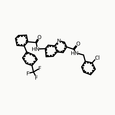 O=C(NCc1ccccc1Cl)c1cnc2cc(NC(=O)c3ccccc3-c3ccc(C(F)(F)F)cc3)ccc2c1